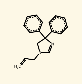 C=CCN1C=NC(c2ccccc2)(c2ccccc2)C1